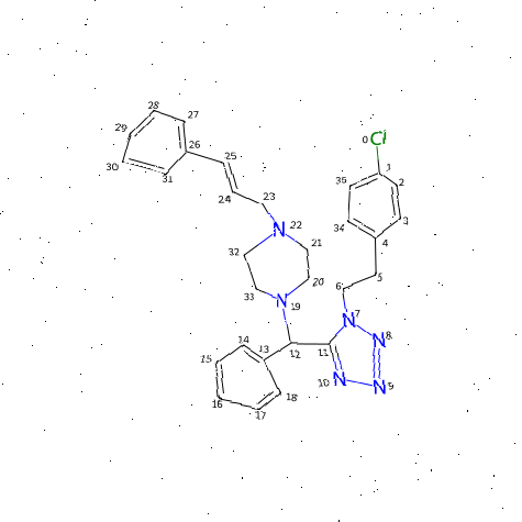 Clc1ccc(CCn2nnnc2C(c2ccccc2)N2CCN(C/C=C/c3ccccc3)CC2)cc1